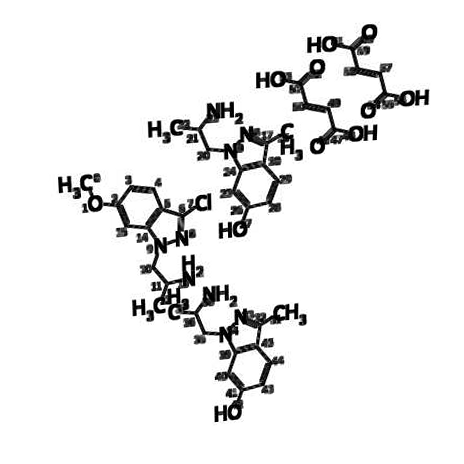 COc1ccc2c(Cl)nn(CC(C)N)c2c1.Cc1nn(CC(C)N)c2cc(O)ccc12.Cc1nn(CC(C)N)c2cc(O)ccc12.O=C(O)C=CC(=O)O.O=C(O)C=CC(=O)O